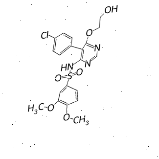 COc1ccc(S(=O)(=O)Nc2ncnc(OCCO)c2-c2ccc(Cl)cc2)cc1OC